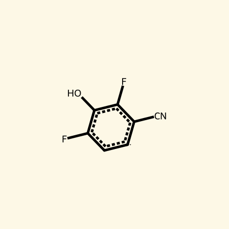 N#Cc1[c]cc(F)c(O)c1F